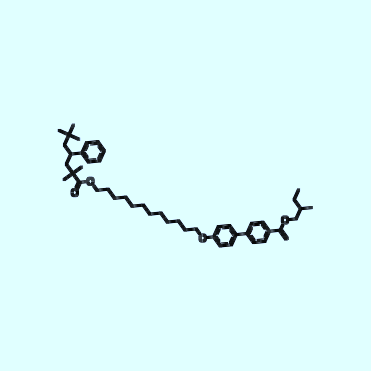 C=C(OCC(C)CC)c1ccc(-c2ccc(OCCCCCCCCCCCCOC(=O)C(C)(C)CC(CC(C)(C)C)c3ccccc3)cc2)cc1